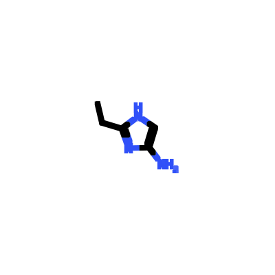 CCc1nc(N)c[nH]1